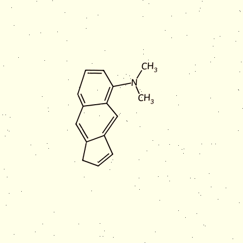 CN(C)c1cccc2cc3c(cc12)C=CC3